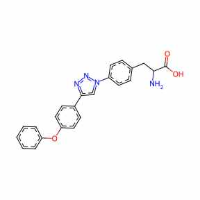 NC(Cc1ccc(-n2cc(-c3ccc(Oc4ccccc4)cc3)nn2)cc1)C(=O)O